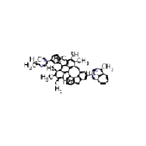 C=C/C=C\C(=C/C)c1cccc(-c2c3c(C)c(S)c(C)c4c3c(c3c(CCC)c(C)c(C)c(S)c23)-c2cccc3c2-c2c(cc(C5=C/C6C=CC=CC(=C6C)C(=C)/C=C\5)cc2C4)C3)c1